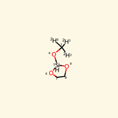 [2H]C([2H])([2H])O[SiH]1OCCO1